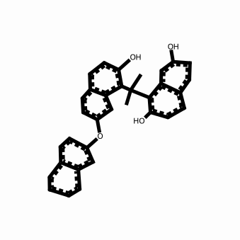 CC(C)(c1c(O)ccc2ccc(O)cc12)c1c(O)ccc2ccc(Oc3ccc4ccccc4c3)cc12